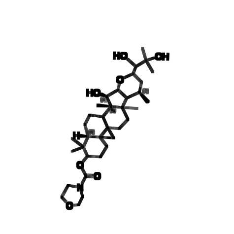 C[C@@H]1CC(C(O)C(C)(C)O)OC2C1C1(C)CCC34CC35CCC(OC(=O)N3CCOCC3)C(C)(C)[C@@H]5CCC4[C@]1(C)[C@H]2O